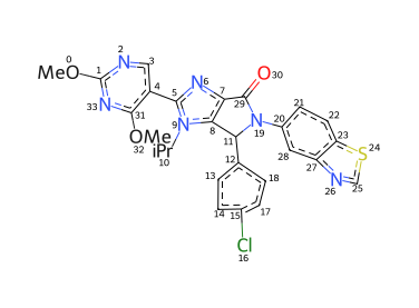 COc1ncc(-c2nc3c(n2C(C)C)C(c2ccc(Cl)cc2)N(c2ccc4scnc4c2)C3=O)c(OC)n1